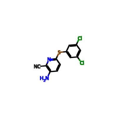 N#Cc1nc(Sc2cc(Cl)cc(Cl)c2)ccc1N